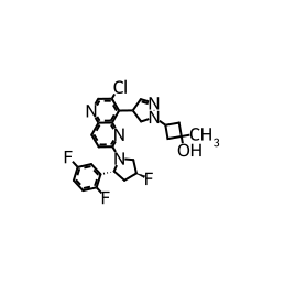 CC1(O)CC(N2CC(c3c(Cl)cnc4ccc(N5C[C@@H](F)C[C@@H]5c5cc(F)ccc5F)nc34)C=N2)C1